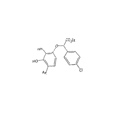 CCCc1c(OC(C(=O)OCC)c2ccc(Cl)cc2)ccc(C(C)=O)c1O